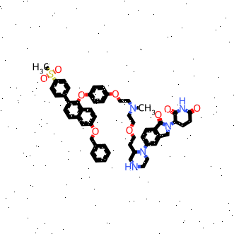 CN(CCOCCC1CNCCN1c1ccc2c(c1)CN(C1CCC(=O)NC1=O)C2=O)CCOc1ccc(Oc2c(-c3ccc(S(C)(=O)=O)cc3)ccc3cc(OCc4ccccc4)ccc23)cc1